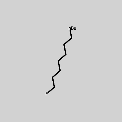 [CH2]CCCCCCCCCCF